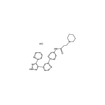 Cl.O=C(CCN1CCCCC1)Nc1ccc(-c2cc(-c3c[nH]nc3-c3ccccn3)ccn2)cc1